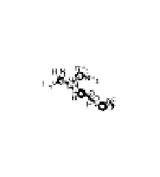 NC[C@@H]1C[C@H](N)CN1c1nc(Nc2ccc(C(=O)CC(=O)Nc3ccc4c(c3)OC(F)(F)O4)cc2)nc(N2C[C@H](N)C[C@H](N)C2)n1